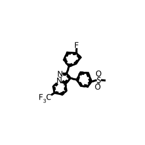 CS(=O)(=O)c1ccc(-c2c(-c3ccc(F)cc3)nn3cc(C(F)(F)F)ccc23)cc1